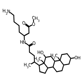 COC(=O)CC(CCCCN)NC(=O)CCC(C)C1CCC2C3CCC4CC(O)CCC4(C)C3CC(O)C12C